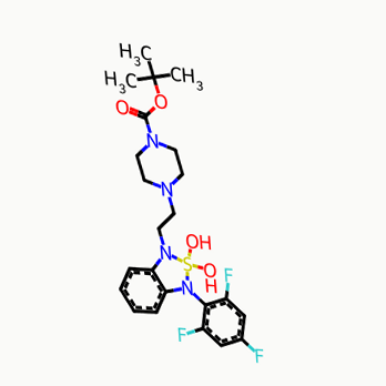 CC(C)(C)OC(=O)N1CCN(CCN2c3ccccc3N(c3c(F)cc(F)cc3F)S2(O)O)CC1